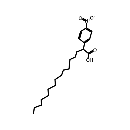 CCCCCCCCCCCCCCC(C(=O)O)c1ccc([N+](=O)[O-])cc1